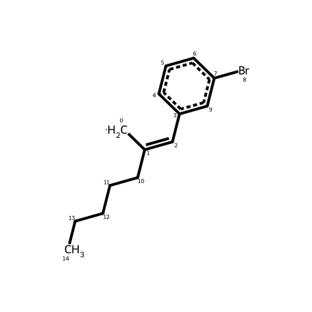 [CH2]/C(=C\c1cccc(Br)c1)CCCCC